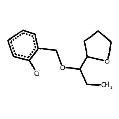 CCC(OCc1ccccc1Cl)C1CCCO1